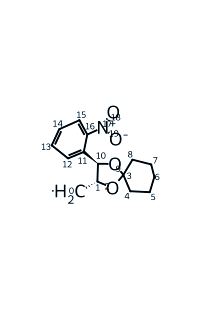 [CH2][C@H]1OC2(CCCCC2)O[C@@H]1c1ccccc1[N+](=O)[O-]